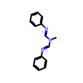 CN(/C=N/c1ccccc1)/C=N/c1ccccc1